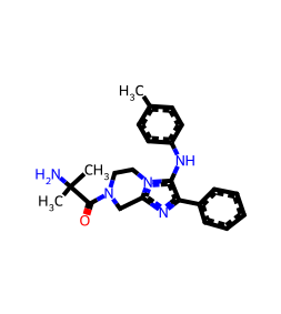 Cc1ccc(Nc2c(-c3ccccc3)nc3n2CCN(C(=O)C(C)(C)N)C3)cc1